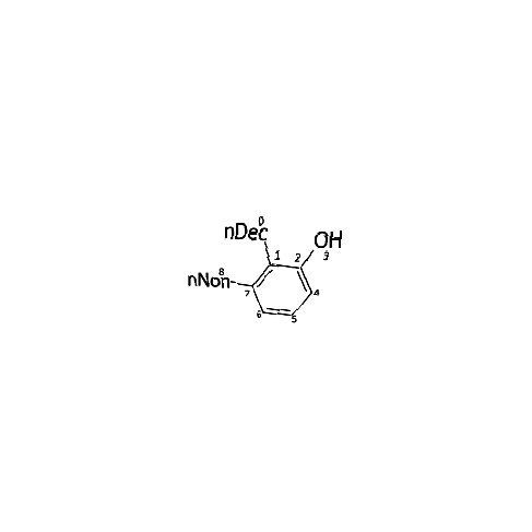 CCCCCCCCCCc1c(O)cccc1CCCCCCCCC